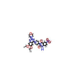 CCOc1cc2nc(N3CCOCC3)nc(N3CCC(n4c(=O)[nH]c5ccc([N+](=O)[O-])cc5c4=O)CC3)c2cc1OCC